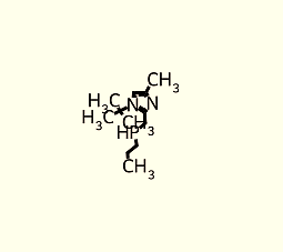 CCCPCc1nc(C)cn1C(C)(C)C